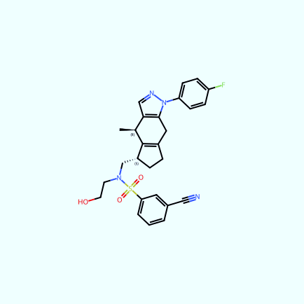 C[C@@H]1C2=C(CC[C@@H]2CN(CCO)S(=O)(=O)c2cccc(C#N)c2)Cc2c1cnn2-c1ccc(F)cc1